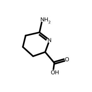 NC1=NC(C(=O)O)CCC1